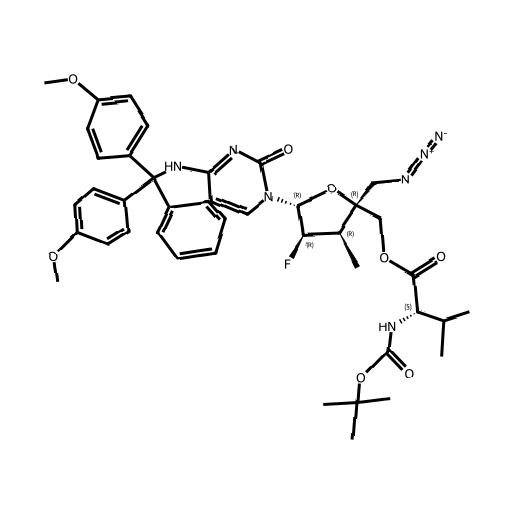 COc1ccc(C(Nc2ccn([C@@H]3O[C@](CN=[N+]=[N-])(COC(=O)[C@@H](NC(=O)OC(C)(C)C)C(C)C)[C@@H](C)[C@H]3F)c(=O)n2)(c2ccccc2)c2ccc(OC)cc2)cc1